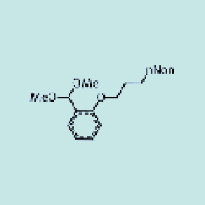 CCCCCCCCCCCCOc1ccccc1C(OC)OC